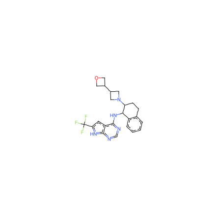 FC(F)(F)c1cc2c(NC3c4ccccc4CCC3N3CC(C4COC4)C3)ncnc2[nH]1